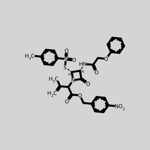 C=C(C)C(C(=O)OCc1ccc([N+](=O)[O-])cc1)N1C(=O)[C@@H](NC(=O)COc2ccccc2)[C@H]1SS(=O)(=O)c1ccc(C)cc1